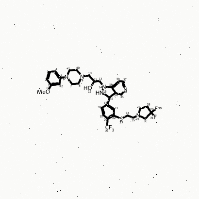 COc1cccc(N2CCN(CC(O)CN3NC(c4ccc(C(F)(F)F)c(SCCN5CCC(F)(F)C5)c4)C4CN=CC=C43)CC2)c1